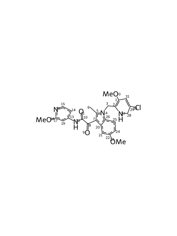 COC1=C(Cn2c(C)c(C(=O)C(=O)Nc3ccnc(OC)c3)c3cc(OC)ccc32)NCC(Cl)=C1